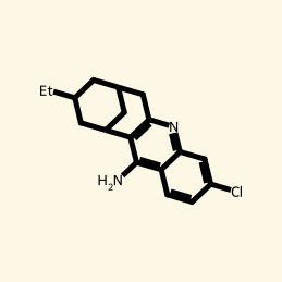 CCC1CC2Cc3nc4cc(Cl)ccc4c(N)c3C(C1)C2